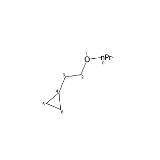 CC[CH]OCCC1CC1